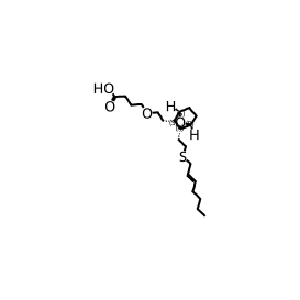 CCCCC=CCSCC[C@@H]1[C@H](CCOCCCC(=O)O)[C@@H]2CC[C@H]1O2